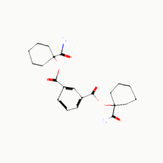 NC(=O)C1(OC(=O)c2cccc(C(=O)OC3(C(N)=O)CCCCC3)c2)CCCCC1